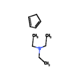 C1=CCC=C1.CCN(CC)CC